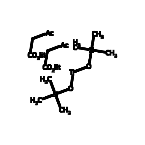 CCOC(=O)CC(C)=O.CCOC(=O)CC(C)=O.C[Si](C)(C)[O][Ti][O][Si](C)(C)C